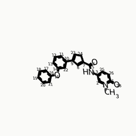 Cn1cc(NC(=O)C2=CC(c3cccc(Oc4ccccc4)c3)=CC2)ccc1=O